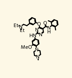 CCN(CC)CCc1cccc(Oc2nc(Nc3ccc(N4CCN(C)CC4)c(OC)c3)ncc2C(=O)Nc2c(C)cccc2C)c1